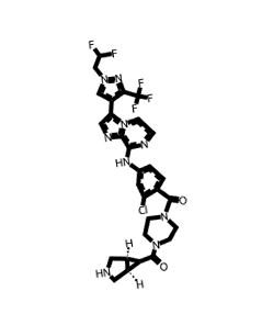 O=C(c1ccc(Nc2nccn3c(-c4cn(CC(F)F)nc4C(F)(F)F)cnc23)cc1Cl)N1CCN(C(=O)C2[C@H]3CNC[C@@H]23)CC1